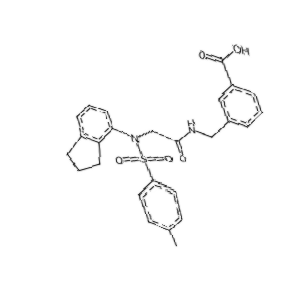 Cc1ccc(S(=O)(=O)N(CC(=O)NCc2cccc(C(=O)O)c2)c2cccc3c2CCC3)cc1